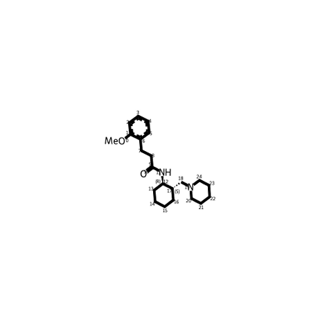 COc1ccccc1CCC(=O)N[C@@H]1CCCC[C@H]1CN1CCCCC1